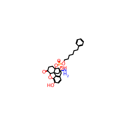 NC1CCC23c4c5ccc(O)c4OC2C(=O)CCC3(OP(=O)(O)OCCCCCCc2ccccc2)C1C5